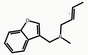 C/C=C/CN(C)Cc1coc2ccccc12